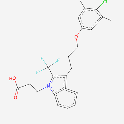 Cc1cc(OCCCc2c(C(F)(F)F)n(CCC(=O)O)c3ccccc23)cc(C)c1Cl